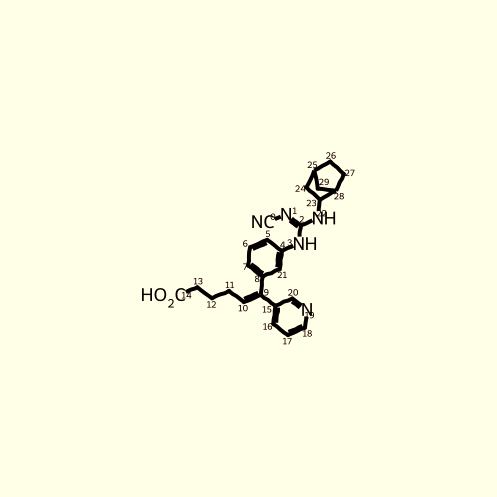 N#CN=C(Nc1cccc(/C(=C\CCCC(=O)O)c2cccnc2)c1)NC1CC2CCC1C2